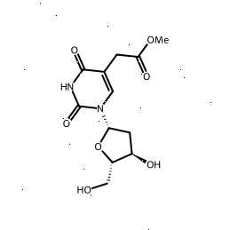 COC(=O)Cc1cn([C@@H]2C[C@@H](O)[C@H](CO)O2)c(=O)[nH]c1=O